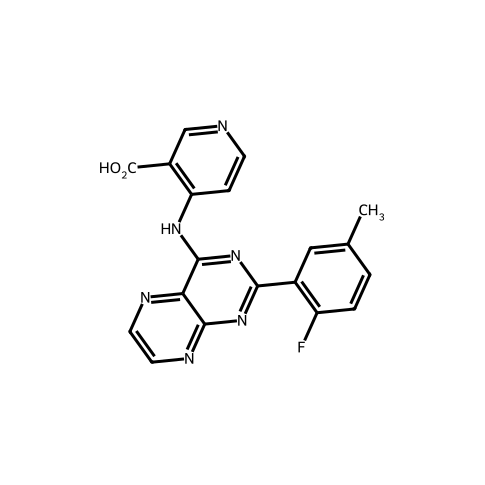 Cc1ccc(F)c(-c2nc(Nc3ccncc3C(=O)O)c3nccnc3n2)c1